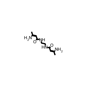 C/C(N)=C/C(=O)NCCNC(=O)/C=C(/C)N